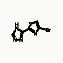 Brc1csc(-c2nnc[nH]2)n1